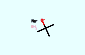 B.CC(C)(C)[O-].[Na+]